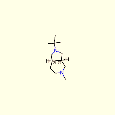 CN1CC[C@H]2CN(C(C)(C)C)C[C@@H]2C1